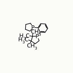 CC1(C)CCP(c2ccccc2P2CCCC2)C1(C)C